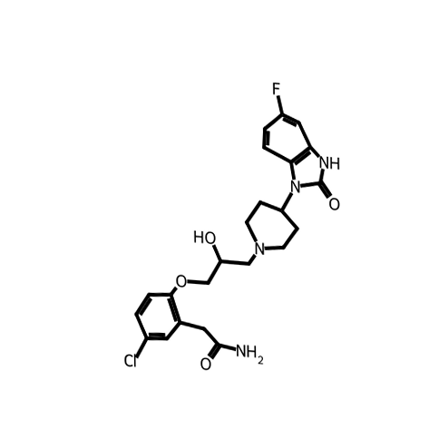 NC(=O)Cc1cc(Cl)ccc1OCC(O)CN1CCC(n2c(=O)[nH]c3cc(F)ccc32)CC1